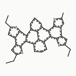 CCc1cc2c3cc(C)sc3c3c4cccc5c4c4c(cccc4c4c6sc(CC)cc6c6cc(CC)sc6c54)c3c2s1